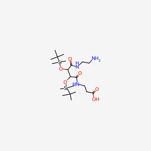 CC(C)(C)[Si](C)(C)OC(C(=O)NCCN)C(O[Si](C)(C)C(C)(C)C)C(=O)NCCC(=O)O